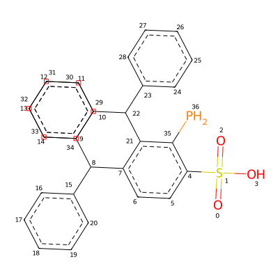 O=S(=O)(O)c1ccc(C(c2ccccc2)c2ccccc2)c(C(c2ccccc2)c2ccccc2)c1P